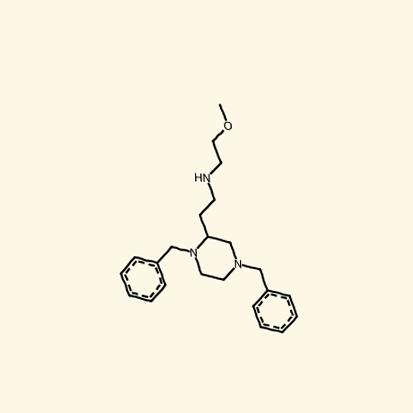 COCCNCCC1CN(Cc2ccccc2)CCN1Cc1ccccc1